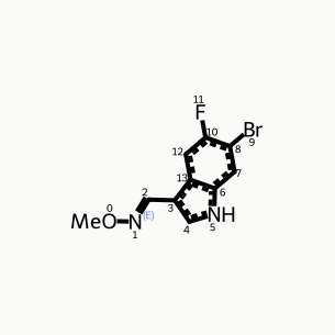 CO/N=C/c1c[nH]c2cc(Br)c(F)cc12